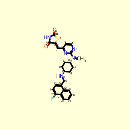 CN(c1nccc(/C=C2\SC(=O)NC2=O)n1)[C@H]1CC[C@H](NCc2ccc(F)c3ccccc23)CC1